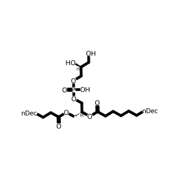 CCCCCCCCCCCCCCCC(=O)O[C@H](COC(=O)CCCCCCCCCCCC)COP(=O)(O)OC[C@@H](O)CO